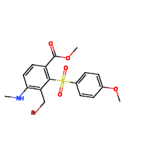 CNc1ccc(C(=O)OC)c(S(=O)(=O)c2ccc(OC)cc2)c1CBr